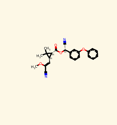 COC(C#N)=C[C@@H]1[C@@H](C(=O)O[C@H](C#N)c2cccc(Oc3ccccc3)c2)C1(C)C